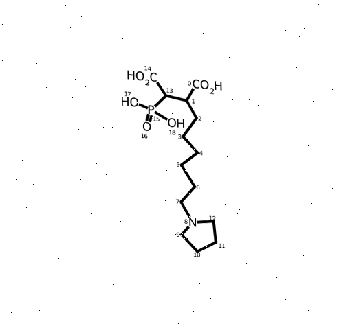 O=C(O)C(CCCCCCN1CCCC1)C(C(=O)O)P(=O)(O)O